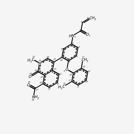 C=CC(=O)Nc1ccc(Oc2c(C)cccc2C)c(-c2cn(C)c(=O)c3c(C(N)=O)cccc23)c1